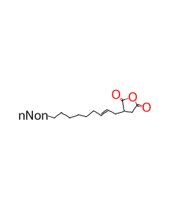 CCCCCCCCCCCCCCCC=CCC1CC(=O)OC1=O